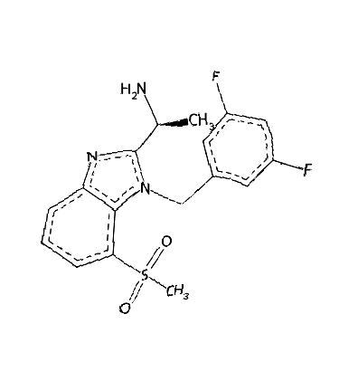 C[C@H](N)c1nc2cccc(S(C)(=O)=O)c2n1Cc1cc(F)cc(F)c1